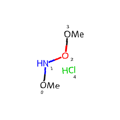 CONOOC.Cl